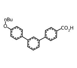 CCCCOc1ccc(-c2cccc(-c3ccc(C(=O)O)cc3)c2)cc1